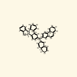 Nc1ccccc1N1Cc2ccc(P(c3ccc4c(c3)C=CCC4)c3ccc4c(ccc5ccccc54)c3)cc2-c2ccccc21